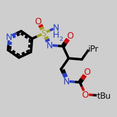 CC(C)CC(/C=N\C(=O)OC(C)(C)C)C(=O)N=S(N)(=O)c1cccnc1